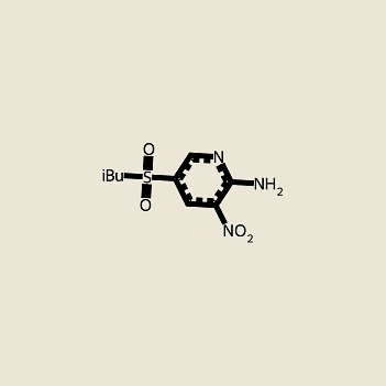 CCC(C)S(=O)(=O)c1cnc(N)c([N+](=O)[O-])c1